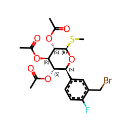 CS[C@H]1O[C@@H](c2ccc(F)c(CBr)c2)[C@H](OC(C)=O)[C@@H](OC(C)=O)[C@@H]1OC(C)=O